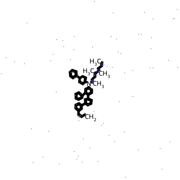 C=C/C=C\c1cccc(-c2cccc(-c3ccc(N(C4=CCC(c5ccccc5)C=C4)/C(C)=C/C=C(C)/C(C)=C/C=C\C)cc3-c3ccccc3)c2)c1